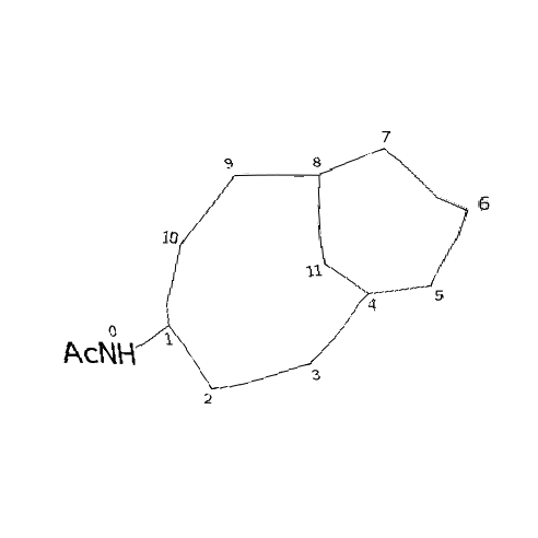 CC(=O)NC1CCC2CCCC(CC1)C2